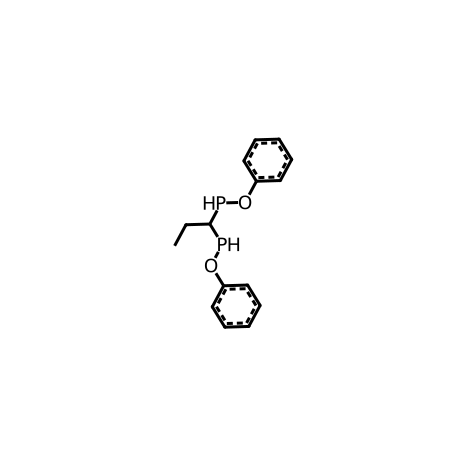 CCC(POc1ccccc1)POc1ccccc1